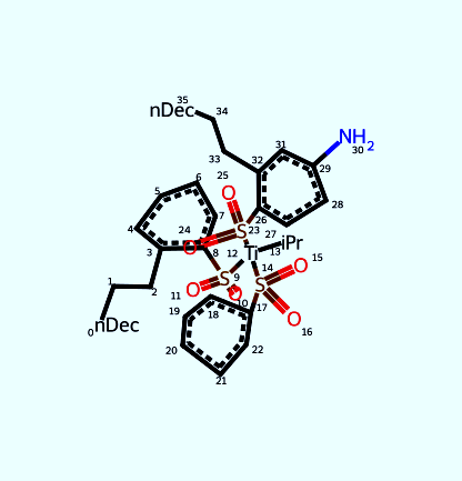 CCCCCCCCCCCCc1ccccc1[S](=O)(=O)[Ti]([CH](C)C)([S](=O)(=O)c1ccccc1)[S](=O)(=O)c1ccc(N)cc1CCCCCCCCCCCC